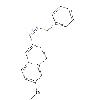 COc1ccc2cc(/C=N\Cc3ccccc3)ccc2c1